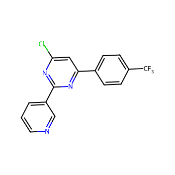 FC(F)(F)c1ccc(-c2cc(Cl)nc(-c3cccnc3)n2)cc1